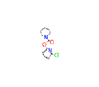 O=C(Oc1cccc(Cl)n1)N1CCCCC1